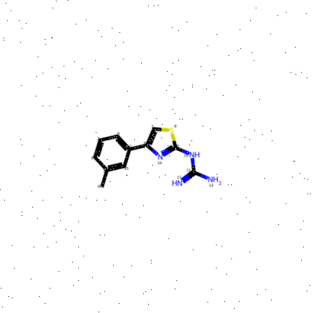 Cc1cccc(-c2csc(NC(=N)N)n2)c1